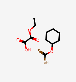 CCOC(=O)C(=O)O.S=C(S)OC1CCCCC1